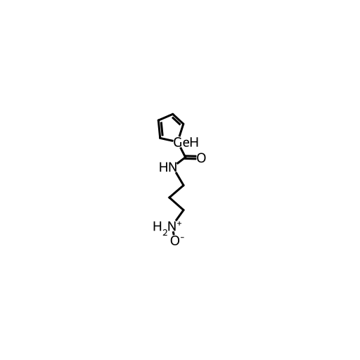 O=[C](NCCC[NH2+][O-])[GeH]1[CH]=CC=[CH]1